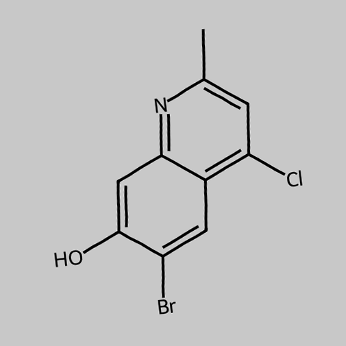 Cc1cc(Cl)c2cc(Br)c(O)cc2n1